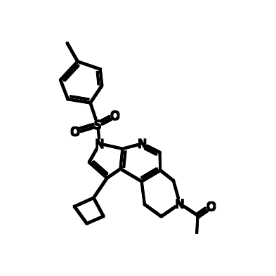 CC(=O)N1CCc2c(cnc3c2c(C2CCC2)cn3S(=O)(=O)c2ccc(C)cc2)C1